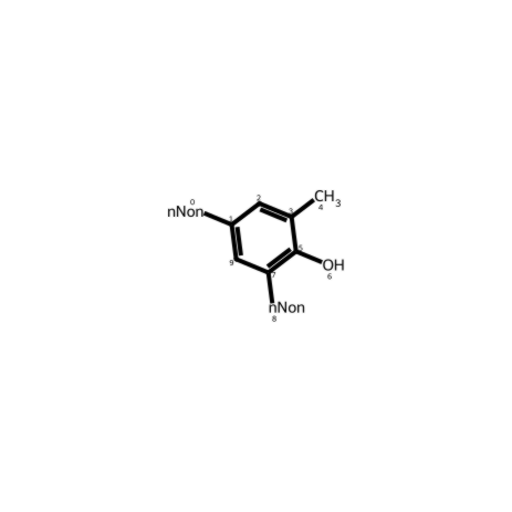 CCCCCCCCCc1cc(C)c(O)c(CCCCCCCCC)c1